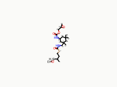 CCO[SiH2]C(C)CCSC(=O)NCC1(C)CC(NC(=O)OCC2CO2)CC(C)(C)C1